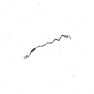 CCCC#CCCCCCCCN